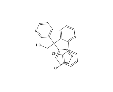 OCC(c1cccnc1)(c1cccnc1)c1cccnc1-c1cccc(Cl)c1Cl